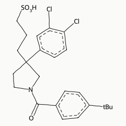 CC(C)(C)c1ccc(C(=O)N2CCC(CCCS(=O)(=O)O)(c3ccc(Cl)c(Cl)c3)C2)cc1